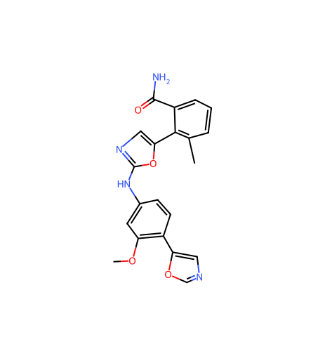 COc1cc(Nc2ncc(-c3c(C)cccc3C(N)=O)o2)ccc1-c1cnco1